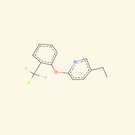 CCc1ccc(Oc2ccccc2C(F)(F)F)nc1